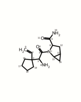 C=CC1(C(N)C(=O)N2C(C(N)=O)CC3CC32)CCCC1